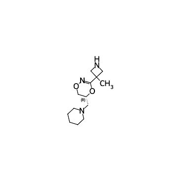 CC1(C2=NOC[C@@H](CN3CCCCC3)O2)CNC1